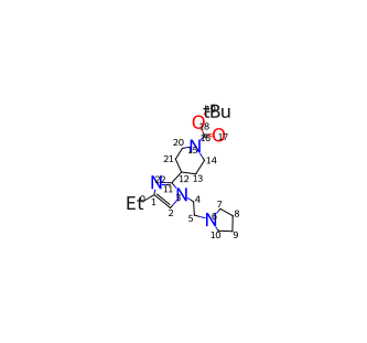 CCc1cn(CCN2CCCC2)c(C2CCN(C(=O)OC(C)(C)C)CC2)n1